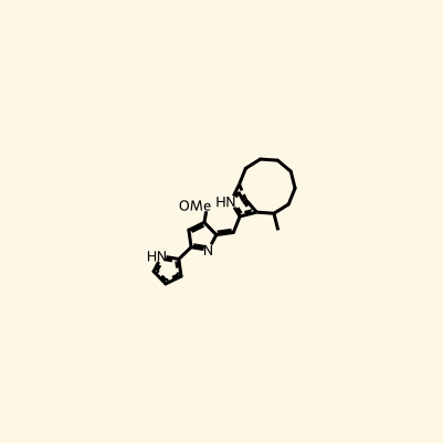 COC1=CC(c2ccc[nH]2)=NC1=Cc1[nH]c2cc1C(C)CCCCCC2